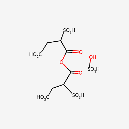 O=C(O)CC(C(=O)OC(=O)C(CC(=O)O)S(=O)(=O)O)S(=O)(=O)O.O=S(=O)(O)O